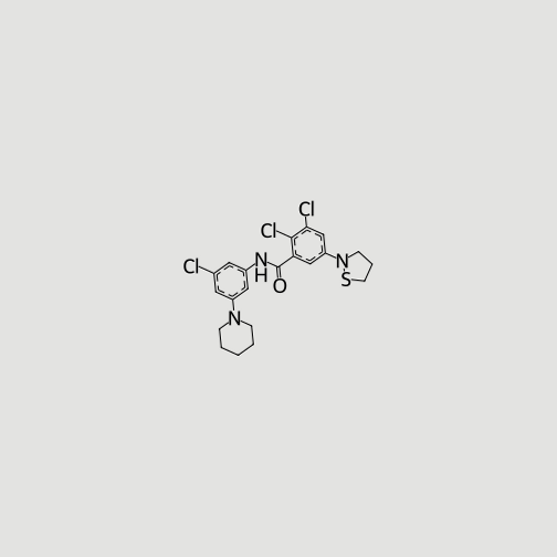 O=C(Nc1cc(Cl)cc(N2CCCCC2)c1)c1cc(N2CCCS2)cc(Cl)c1Cl